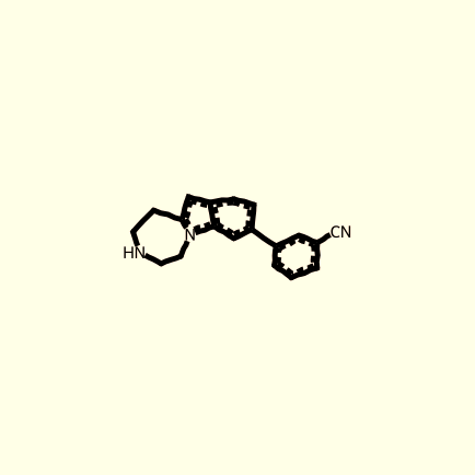 N#Cc1cccc(-c2ccc3cc4n(c3c2)CCNCC4)c1